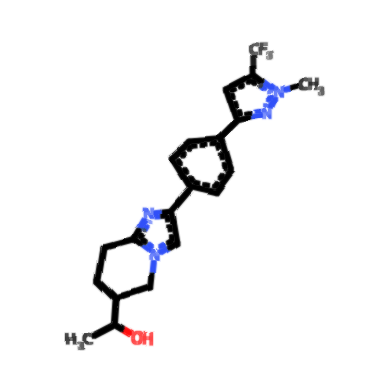 CC(O)C1CCc2nc(-c3ccc(-c4cc(C(F)(F)F)n(C)n4)cc3)cn2C1